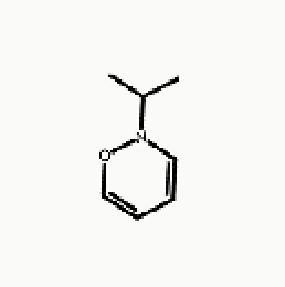 CC(C)N1C=CC=CO1